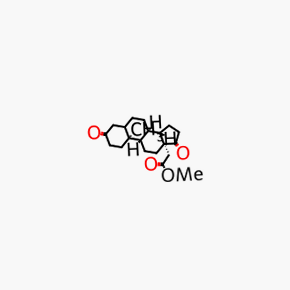 COC(=O)C[C@]12CC[C@H]3[C@@H](CCC4CC(=O)CC[C@@]43C)[C@@H]1CCC2=O